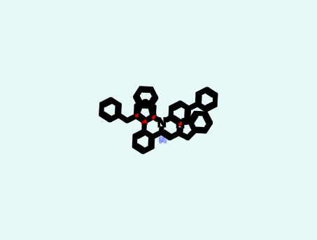 C1=C(c2ccccc2/C(=C/C2=Nc3ccccc3C2)N(c2ccc(-c3ccccc3)cc2)c2cccc(Cc3ccccc3)c2)Cc2ccccc21